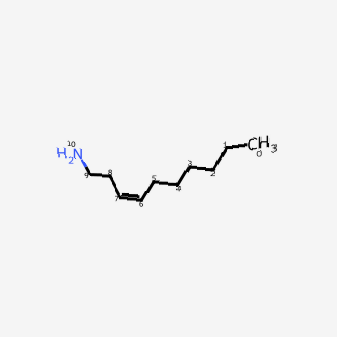 CCCCCC/C=C\CCN